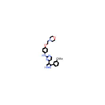 COc1cccc(-c2n[nH]cc2-c2ccnc(Nc3ccc(OCCN4CCOCC4)cc3)n2)c1